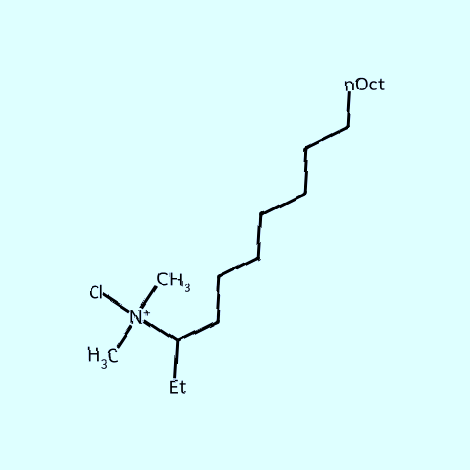 CCCCCCCCCCCCCCCC(CC)[N+](C)(C)Cl